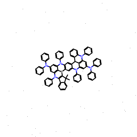 CC1(C)C2=C(c3ccccc31)N(c1ccccc1)c1cc(N(c3ccccc3)c3ccccc3)cc3c1B2c1cc2c(cc1N3c1ccccc1)C1c3ccccc3N(c3ccccc3)c3cc(N(c4ccccc4)c4ccccc4)cc(c31)N2c1ccccc1